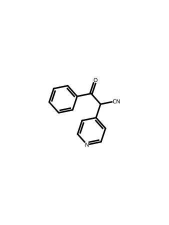 N#CC(C(=O)c1ccccc1)c1ccncc1